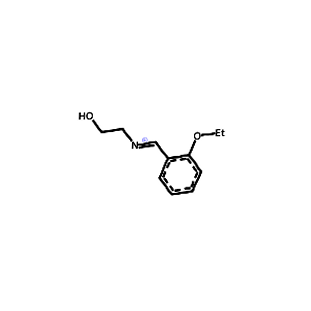 CCOc1ccccc1/C=N/CCO